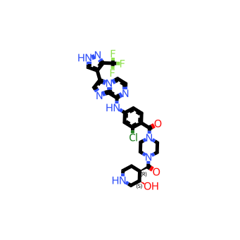 O=C(c1ccc(Nc2nccn3c(-c4c[nH]nc4C(F)(F)F)cnc23)cc1Cl)N1CCN(C(=O)[C@@H]2CCNC[C@H]2O)CC1